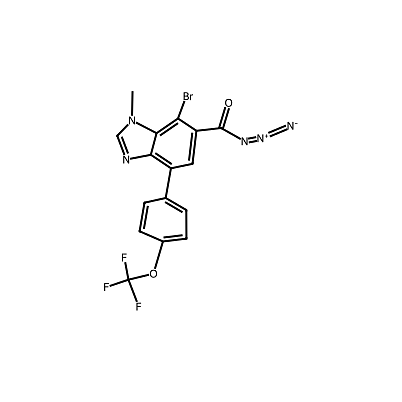 Cn1cnc2c(-c3ccc(OC(F)(F)F)cc3)cc(C(=O)N=[N+]=[N-])c(Br)c21